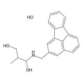 CC(CO)C(O)NCc1cc2c3c(cccc3c1)-c1ccccc1-2.Cl